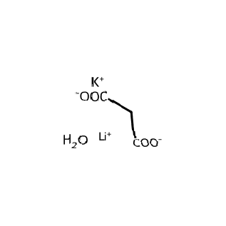 O.O=C([O-])CC(=O)[O-].[K+].[Li+]